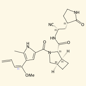 C=C/C=C(/OC)c1cc(C(=O)N2C[C@@H]3CC[C@@H]3[C@H]2C(=O)N[C@H](C#N)C[C@@H]2CCNC2=O)[nH]c1C